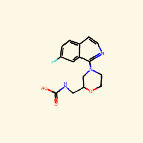 O=C(O)NCC1CN(c2nccc3ccc(F)cc23)CCO1